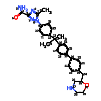 Cc1nc(C(N)=O)nn1-c1ccc(C(C)(C)c2ccc(-c3ccc(CC4CNCCO4)cc3)cc2)cc1